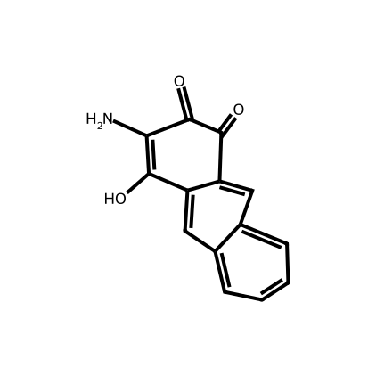 NC1=C(O)c2cc3ccccc3cc2C(=O)C1=O